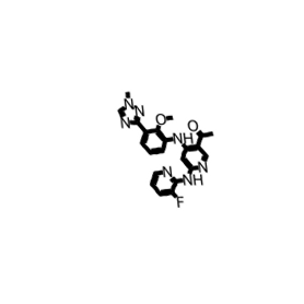 COc1c(Nc2cc(Nc3ncccc3F)ncc2C(C)=O)cccc1-c1ncn(C)n1